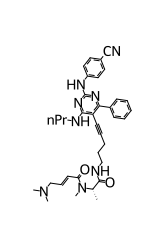 CCCNc1nc(Nc2ccc(C#N)cc2)nc(-c2ccccc2)c1C#CCCCNC(=O)[C@H](C)N(C)C(=O)/C=C/CN(C)C